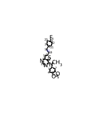 CN(c1ccc2c(c1)OCO2)c1ncnc2cc(/C=C/c3ccc(F)cc3)sc12